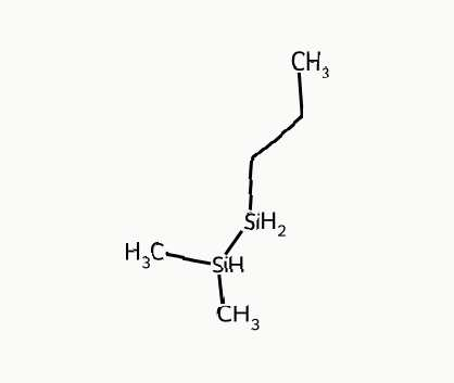 CCC[SiH2][SiH](C)C